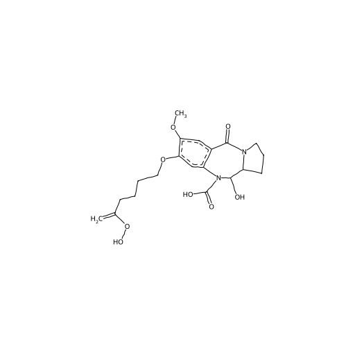 C=C(CCCCOc1cc2c(cc1OC)C(=O)N1CCCC1C(O)N2C(=O)O)OO